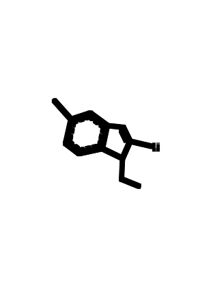 [Li][C]1=Cc2cc(C)ccc2C1CC